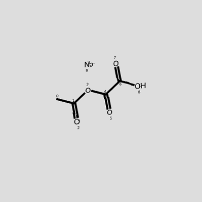 CC(=O)OC(=O)C(=O)O.[Nb]